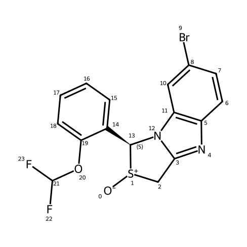 [O-][S+]1Cc2nc3ccc(Br)cc3n2[C@@H]1c1ccccc1OC(F)F